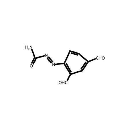 NC(=O)N=Nc1ccc(C=O)cc1C=O